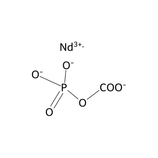 O=C([O-])OP(=O)([O-])[O-].[Nd+3]